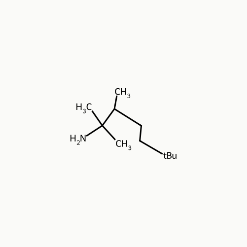 CC(CCC(C)(C)C)C(C)(C)N